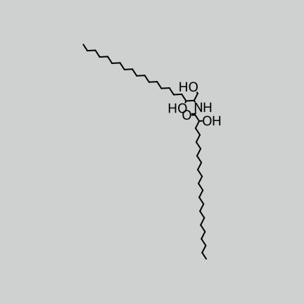 CCCCCCCCCCCCCCCCCCCCC(O)C(=O)NC(CO)C(O)CCCCCCCCCCCCCCCCC